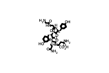 NCC(=O)NCC(=O)N[C@@H](Cc1ccc(O)cc1)C(=O)N[C@@H](Cc1ccc(O)cc1)C(=O)N[C@@H](CCC(N)=O)C(=O)N[C@@H](CC(N)=O)C(=O)O